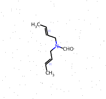 C/C=C/CN([C]=O)C/C=C/C